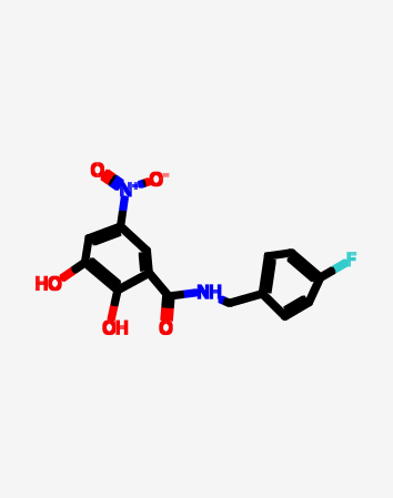 O=C(NCc1ccc(F)cc1)c1cc([N+](=O)[O-])cc(O)c1O